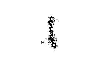 COC(=O)[C@H](CC(=O)N1CC(CCc2ccc3c(n2)NCCC3)C1)NS(=O)(=O)c1ccc(F)cc1